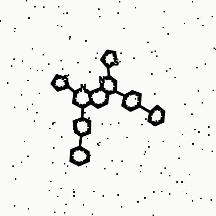 c1ccc(-c2ccc(-c3cc(-c4cccs4)nc4c3ccc3c(-c5ccc(-c6ccccc6)cc5)cc(-c5cccs5)nc34)cc2)cc1